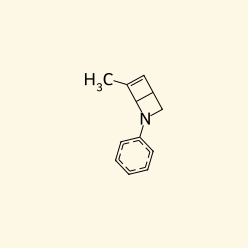 CC1=CC2CN(c3ccccc3)C12